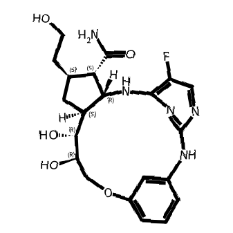 NC(=O)[C@H]1[C@H](CCO)C[C@@H]2[C@@H](O)[C@H](O)COc3cccc(c3)Nc3ncc(F)c(n3)N[C@H]21